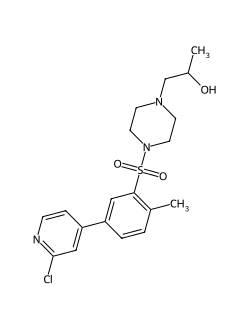 Cc1ccc(-c2ccnc(Cl)c2)cc1S(=O)(=O)N1CCN(CC(C)O)CC1